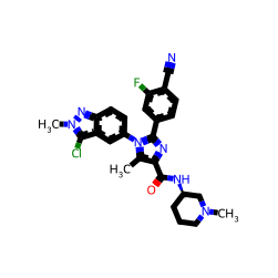 Cc1c(C(=O)N[C@@H]2CCCN(C)C2)nc(-c2ccc(C#N)c(F)c2)n1-c1ccc2nn(C)c(Cl)c2c1